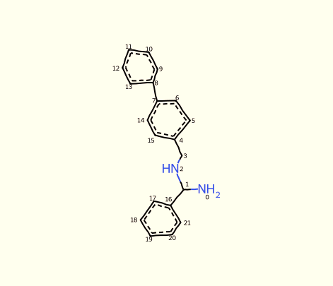 NC(NCc1ccc(-c2ccccc2)cc1)c1ccccc1